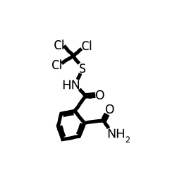 NC(=O)c1ccccc1C(=O)NSC(Cl)(Cl)Cl